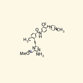 CO/N=C/c1nc(C#Cc2cc(C(=O)Nc3ccc(CN4CCN(C)CC4)c(C(F)(F)F)c3)ccc2C)cnc1N